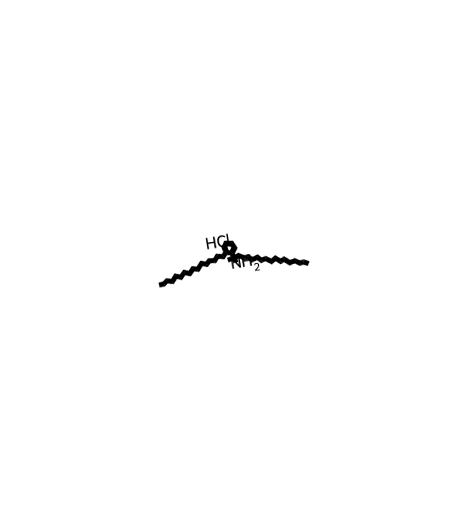 CCCCCCCCCCCCCCCCc1ccccc1C(C)(N)CCCCCCCCCCCCCCCC.Cl